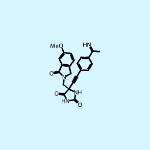 COc1ccc2c(c1)C(=O)N(C[C@@]1(C#Cc3ccc(C(C)=N)cc3)NC(=O)NC1=O)C2